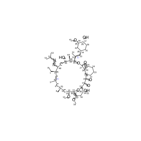 CC[C@@H]1/C=C(\C)C[C@H](C)C[C@H](OC)[C@H]2O[C@@](O)(C(=O)C(=O)N3CCCC[C@H]3C(=O)O[C@H](/C(C)=C/[C@@H]3CC[C@@H](O)[C@H](OC)C3)[C@H](C)[C@@H](O)CC1=NN=C(C)C)[C@H](C)C[C@@H]2OC